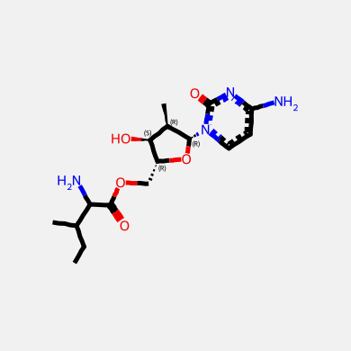 CCC(C)C(N)C(=O)OC[C@H]1O[C@@H](n2ccc(N)nc2=O)[C@H](C)[C@@H]1O